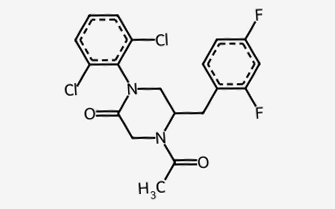 CC(=O)N1CC(=O)N(c2c(Cl)cccc2Cl)CC1Cc1ccc(F)cc1F